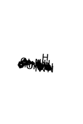 O[C@@H](CNc1n[nH]c2c(Nc3ccnnc3)ncnc12)CN1CCc2ccccc2C1